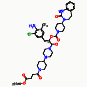 CCCCCCOC(=O)CCC(=O)N1CCC(N2CCN(C(=O)[C@@H](Cc3cc(Cl)c(N)c(C(F)(F)F)c3)OC(=O)N3CCC(N4CCc5ccccc5NC4=O)CC3)CC2)CC1